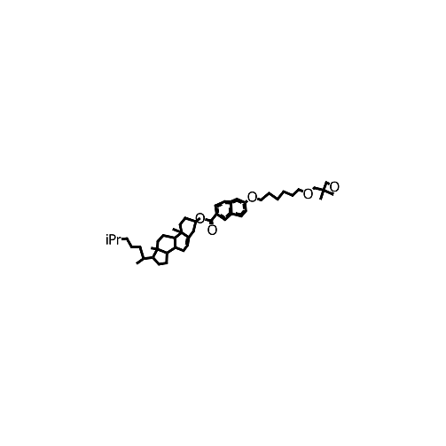 CC(C)CCCC(C)C1CCC2C3CC=C4CC(OC(=O)c5ccc6cc(OCCCCCCOCC7(C)COC7)ccc6c5)CCC4(C)C3CCC12C